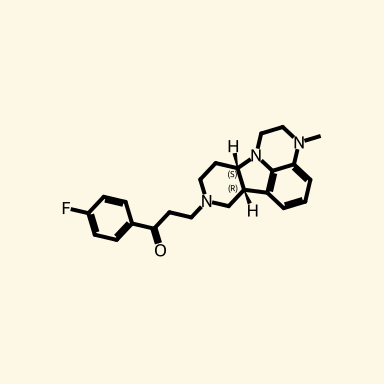 CN1CCN2c3c(cccc31)[C@@H]1CN(CCC(=O)c3ccc(F)cc3)CC[C@@H]12